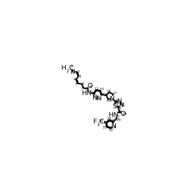 C=N/C=C\C=C/CCC(=O)Nc1ccc(C2CCN(c3nnc(C(=O)NCc4cc(C(F)(F)F)ccn4)s3)C2)nn1